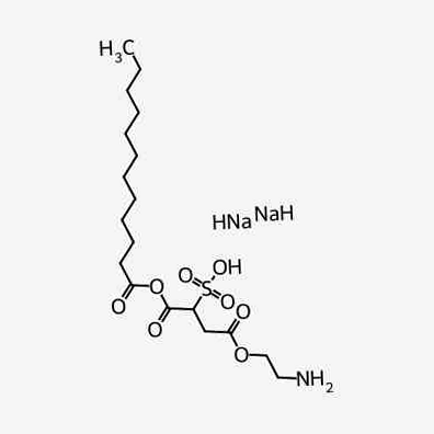 CCCCCCCCCCCC(=O)OC(=O)C(CC(=O)OCCN)S(=O)(=O)O.[NaH].[NaH]